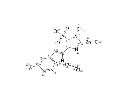 CCS(=O)(=O)c1c(-c2nc3cc(C(F)(F)F)nnc3n2C)n[c]([Zn][Cl])n1C.[Cl-].[Li+]